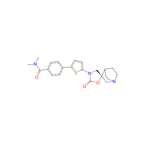 CN(C)C(=O)c1ccc(-c2ccc(N3C[C@@]4(CN5CCC4CC5)OC3=O)s2)cc1